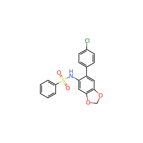 O=S(=O)(Nc1cc2c(cc1-c1ccc(Cl)cc1)OCO2)c1ccccc1